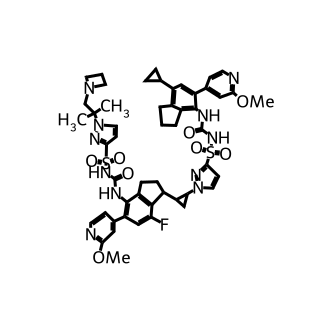 COc1cc(-c2cc(C3CC3)c3c(c2NC(=O)NS(=O)(=O)c2ccn(C4CC4C4CCc5c(NC(=O)NS(=O)(=O)c6ccn(C(C)(C)CN7CCC7)n6)c(-c6ccnc(OC)c6)cc(F)c54)n2)CCC3)ccn1